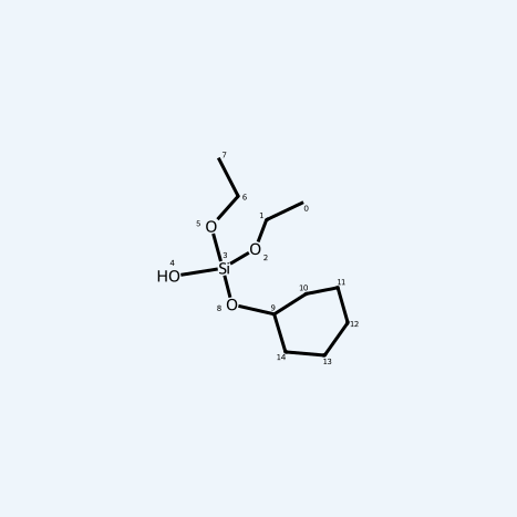 CCO[Si](O)(OCC)OC1CCCCC1